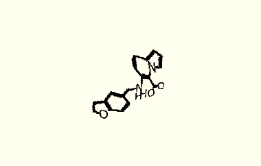 O=C(O)c1c(NCc2ccc3c(c2)CCO3)ccc2cccn12